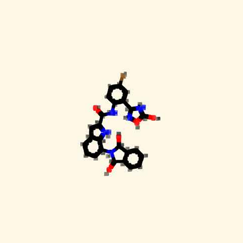 O=C(Nc1ccc(Br)cc1-c1noc(=O)[nH]1)c1cc2cccc(N3C(=O)c4ccccc4C3=O)c2[nH]1